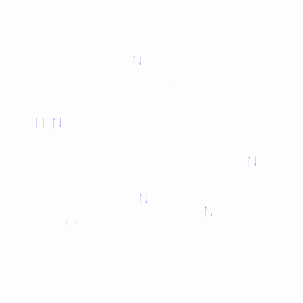 Cc1ncnc(N2CCOCC2)c1-c1cncc(N)c1